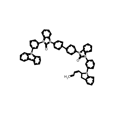 C=C/C=C\C1Cc2ccccc2N1c1cccc(-n2c(=O)n(-c3ccc(-c4ccc(-n5c(=O)n(-c6cccc(-n7c8ccccc8c8ccccc87)c6)c6ccccc65)cc4)cc3)c3ccccc32)c1